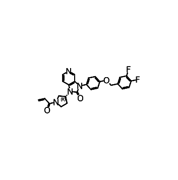 C=CC(=O)N1CC[C@@H](n2c(=O)n(-c3ccc(OCc4ccc(F)c(F)c4)cc3)c3cnccc32)C1